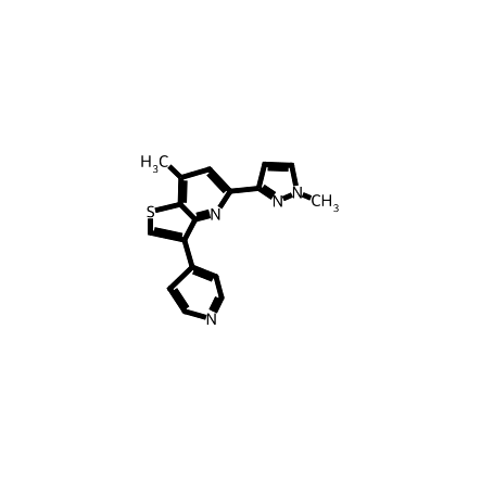 Cc1cc(-c2ccn(C)n2)nc2c(-c3ccncc3)csc12